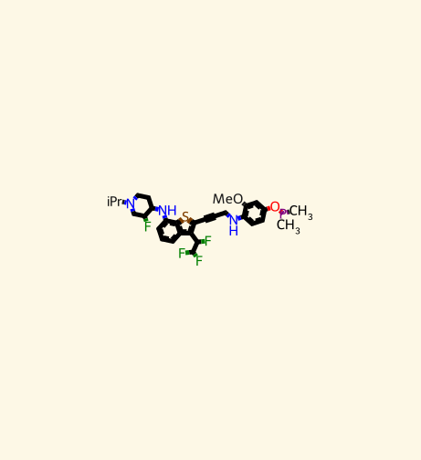 COc1cc(OP(C)C)ccc1NCC#Cc1sc2c(NC3CCN(C(C)C)CC3F)cccc2c1C(F)C(F)F